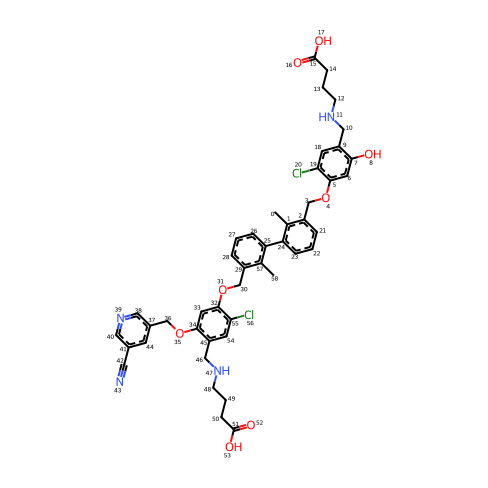 Cc1c(COc2cc(O)c(CNCCCC(=O)O)cc2Cl)cccc1-c1cccc(COc2cc(OCc3cncc(C#N)c3)c(CNCCCC(=O)O)cc2Cl)c1C